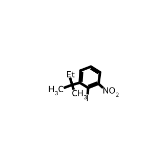 CCC(C)(C)c1cccc([N+](=O)[O-])c1I